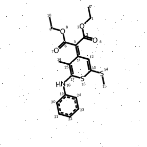 CCOC(=O)C(C(=O)OCC)=C1C=C(SC)SC(Nc2ccccc2)=C1C